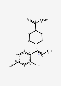 COC(=O)[C@H]1CC[C@H](/C(=N\O)c2ccc(F)cc2F)CC1